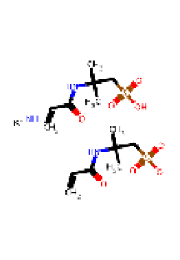 C=CC(=O)NC(C)(C)CS(=O)(=O)O.C=CC(=O)NC(C)(C)CS(=O)(=O)[O-].N.[K+]